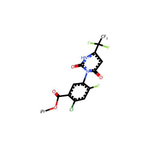 CC(C)OC(=O)c1cc(-n2c(=O)cc(C(F)(F)C(F)(F)F)[nH]c2=O)c(F)cc1Cl